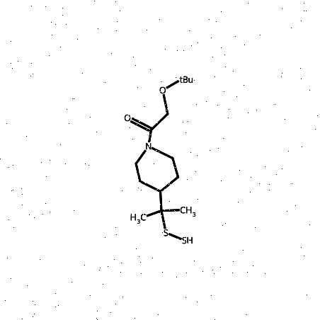 CC(C)(C)OCC(=O)N1CCC(C(C)(C)SS)CC1